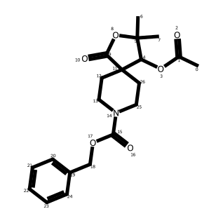 CC(=O)OC1C(C)(C)OC(=O)C12CCN(C(=O)OCc1ccccc1)CC2